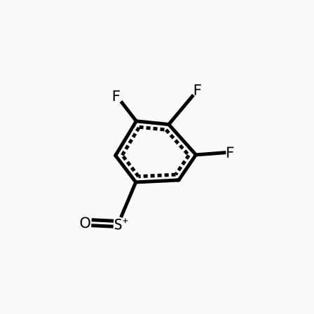 O=[S+]c1cc(F)c(F)c(F)c1